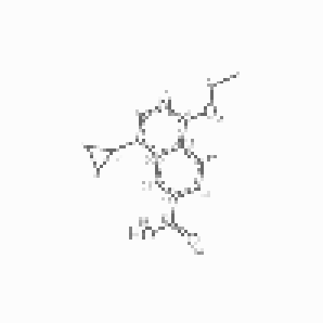 CCOc1ncc(C2CC2)c2cc(C(=O)O)ccc12